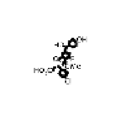 CO[C@@H]1c2c(F)cc([C@@H](O)C3CCC(O)CC3)cc2C(=O)N1[C@@H](CCC(=O)O)c1ccc(Cl)cc1